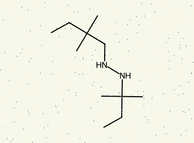 CCC(C)(C)CNNC(C)(C)CC